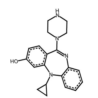 Oc1ccc2c(c1)N(C1CC1)c1ccccc1N=C2N1CCNCC1